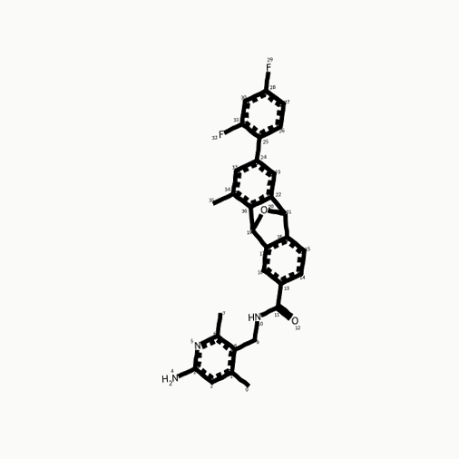 Cc1cc(N)nc(C)c1CNC(=O)c1ccc2c(c1)C1OC2c2cc(-c3ccc(F)cc3F)cc(C)c21